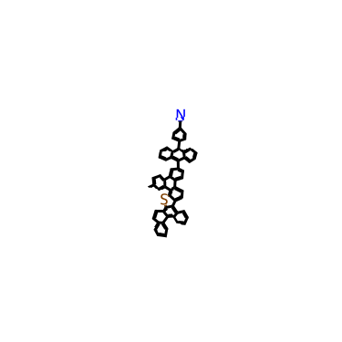 Cc1ccc2c3cc(-c4c5ccccc5c(-c5ccc(C#N)cc5)c5ccccc45)ccc3c3ccc4c(sc5c6ccc7ccccc7c6c6ccccc6c45)c3c2c1